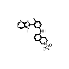 Cc1ccc(Nc2cccc3c2CCN(S(C)(=O)=O)C3)cc1-c1nc2ncncc2[nH]1